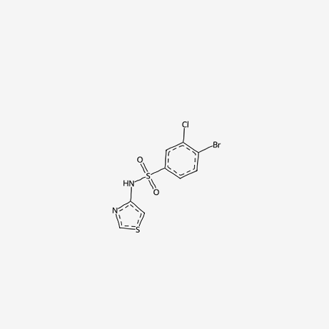 O=S(=O)(Nc1cscn1)c1ccc(Br)c(Cl)c1